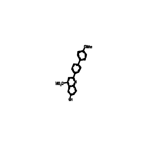 COc1ccc(-c2ccc(-c3cc(C(=O)O)c4cc(S)ccc4n3)cc2)cc1